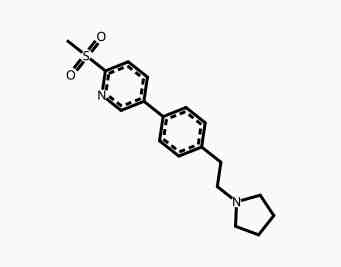 CS(=O)(=O)c1ccc(-c2ccc(CCN3CCCC3)cc2)cn1